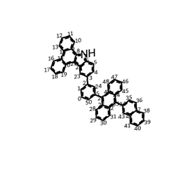 c1cc(-c2ccc3[nH]c4c5ccccc5c5ccccc5c4c3c2)cc(-c2c3ccccc3c(-c3ccc4ccccc4c3)c3ccccc23)c1